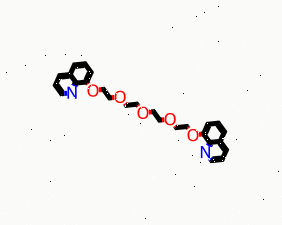 c1cnc2c(OCCOCCOCCOCCOc3cccc4cccnc34)cccc2c1